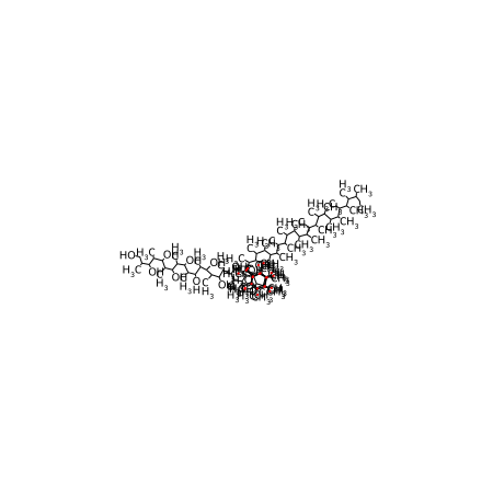 CCC(C)C(C)C(C)C(C)C(C)C(C)C(C)C(C)C(C)C(C)C(C)C(C)C(C)C(C)C(C)C(C)C(C)C(C)C(C)C(C)C(C)C(C)C(C)C(C)C(C)C(C)C(C)C(C)C(C)C(C)C(C)C(C)C(C)C(C)C(C)C(C)C(C)C(C)C(C)C(C)C(C)C(C)C(C)C(C)C(C)(O)C(C)C(O)C(C)C(O)C(C)C(O)C(C)C(O)C(C)C(O)C(C)C(O)C(C)C(O)C(C)C(O)C(C)C(O)C(C)C(O)C(C)CO